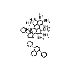 Bc1c(B)c(B)c2c(c1B)c(B)c(B)c1c(-c3nc(-c4ccccc4)nc(-c4cccc(-c5ccc(-c6ccccc6)c6ccccc56)c4)n3)c(B)c(B)c(B)c12